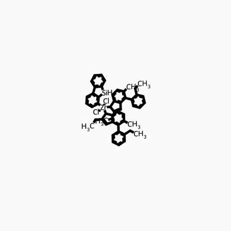 CCC1=Cc2c(ccc(C)c2-c2ccccc2CC)[CH]1[Zr]([Cl])([Cl])([c]1cccc2c1[SiH2]c1ccccc1-2)[CH]1C(CC)=Cc2c1ccc(C)c2-c1ccccc1CC